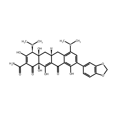 CN(C)c1cc(-c2ccc3c(c2)OCO3)c(O)c2c1C[C@H]1C[C@@]3(O)[C@H](N(C)C)C(O)=C(C(N)=O)C(=O)[C@@]3(O)C(O)=C1C2=O